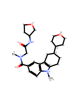 CCN(CC(=O)NC1CCOC1)C(=O)c1ccc2c(c1)c1c(n2C)CCC(C2CCOCC2)C1